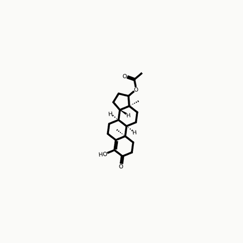 CC(=O)OC1CC[C@H]2[C@@H]3CCC4=C(O)C(=O)CC[C@]4(C)[C@@H]3CC[C@]12C